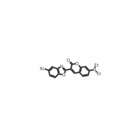 CCN(CC)c1ccc2cc(-c3nc4cc(C(C)=O)ccc4o3)c(=O)oc2c1